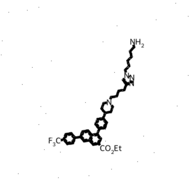 CCOC(=O)c1cc(-c2ccc(C3CCN(CCCCc4cn(CCCCCCN)nn4)CC3)cc2)c2ccc(-c3ccc(C(F)(F)F)cc3)cc2c1